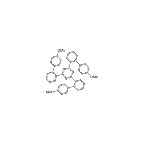 COc1ccc(-c2ccccc2-c2nc(-c3ccccc3-c3ccc(OC)cc3)nc(-c3ccccc3-c3ccc(OC)cc3)n2)cc1